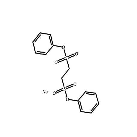 O=S(=O)(CCS(=O)(=O)Oc1ccccc1)Oc1ccccc1.[Na]